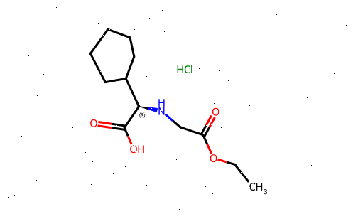 CCOC(=O)CN[C@@H](C(=O)O)C1CCCCC1.Cl